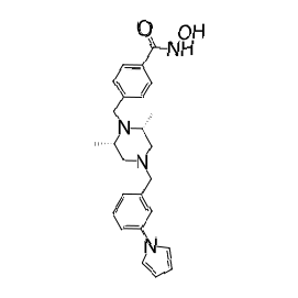 C[C@@H]1CN(Cc2cccc(-n3cccc3)c2)C[C@H](C)N1Cc1ccc(C(=O)NO)cc1